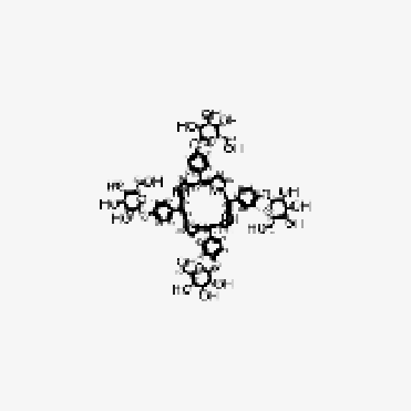 OC[C@H]1O[C@@H](Oc2ccc(-c3c4nc(c(-c5ccc(O[C@@H]6O[C@H](CO)[C@@H](O)[C@H](O)[C@H]6O)cc5)c5ccc([nH]5)c(-c5ccc(O[C@@H]6O[C@H](CO)[C@@H](O)[C@H](O)[C@H]6O)cc5)c5nc(c(-c6ccc(O[C@@H]7O[C@H](CO)[C@@H](O)[C@H](O)[C@H]7O)cc6)c6ccc3[nH]6)CC5)C=C4)cc2)[C@H](O)[C@@H](O)[C@@H]1O